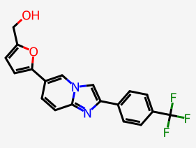 OCc1ccc(-c2ccc3nc(-c4ccc(C(F)(F)F)cc4)cn3c2)o1